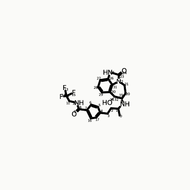 CC(CCc1ccc(C(=O)NCC(F)(F)F)cc1)N[C@@H]1CCn2c(=O)[nH]c3cccc(c32)[C@H]1O